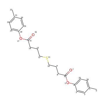 Cc1ccc(OC(=O)CCCSCCCC(=O)Oc2ccc(C)cc2)cc1